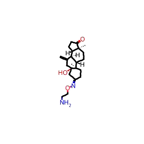 C=C1C[C@@]2(O)C/C(=N\OCCN)CC[C@]2(C)[C@H]2CC[C@]3(C)C(=O)CC[C@H]3[C@H]12